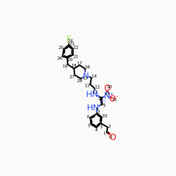 O=CCc1cccc(N/C=C(\NCCCN2CCC(Cc3ccc(F)cc3)CC2)[N+](=O)[O-])c1